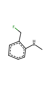 CBc1ccccc1CF